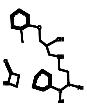 CC(=O)N(CCNCC(O)COc1ccccc1C)N(C(C)=O)c1ccccc1.O=C1CCN1